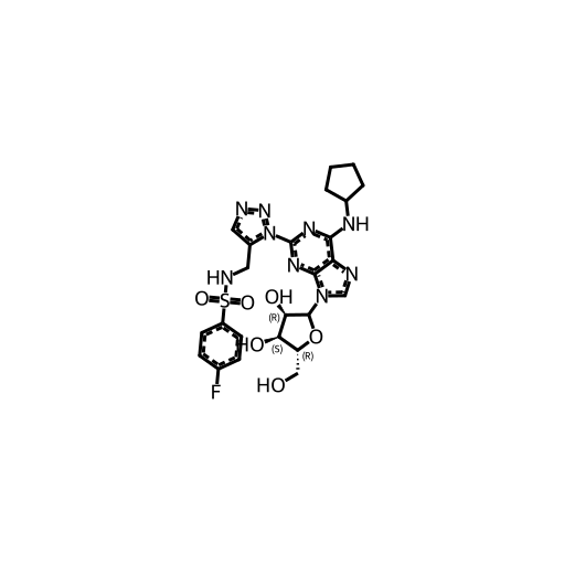 O=S(=O)(NCc1cnnn1-c1nc(NC2CCCC2)c2ncn(C3O[C@H](CO)[C@@H](O)[C@H]3O)c2n1)c1ccc(F)cc1